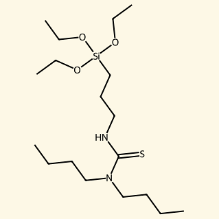 CCCCN(CCCC)C(=S)NCCC[Si](OCC)(OCC)OCC